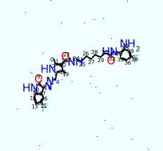 Cc1[nH]c(/C=N/N=C2\C(=O)Nc3ccc(F)cc32)c(C)c1C(=O)NCCCCCCCC(=O)Nc1ccc(F)cc1N